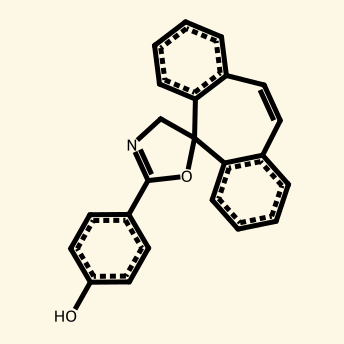 Oc1ccc(C2=NCC3(O2)c2ccccc2C=Cc2ccccc23)cc1